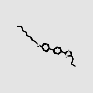 CCCCC/C=C/COc1ccc(-c2ccc(-c3ncc(CCC)s3)cc2)cc1